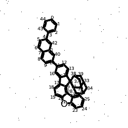 c1ccc(-c2ccc3ccc(-c4ccc5c(c4)-c4ccc6oc7ccccc7c6c4C54C5CC6CC(C5)CC4C6)cc3c2)cc1